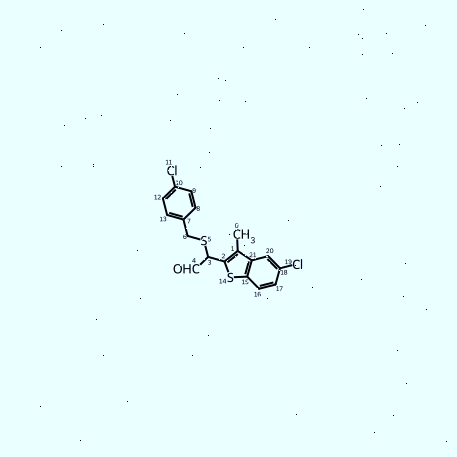 Cc1c(C(C=O)SCc2ccc(Cl)cc2)sc2ccc(Cl)cc12